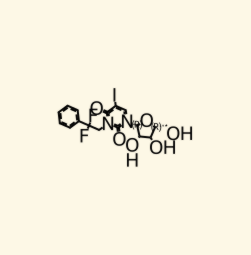 O=c1c(I)cn([C@@H]2O[C@H](CO)C(O)C2O)c(=O)n1CC(F)(F)c1ccccc1